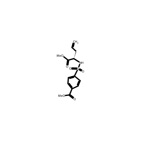 C=CC[C@H](NS(=O)(=O)c1ccc(C(=O)OC)cc1)C(=O)OC